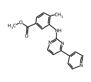 COC(=O)c1ccc(C)c(Nc2nccc(-c3ccncc3)n2)c1